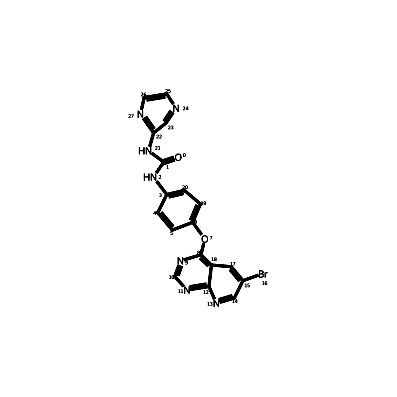 O=C(Nc1ccc(Oc2ncnc3ncc(Br)cc23)cc1)Nc1cnccn1